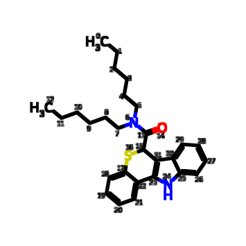 CCCCCCN(CCCCCC)C(=O)C1Sc2ccccc2-c2[nH]c3ccccc3c21